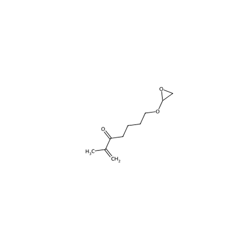 C=C(C)C(=O)CCCCOC1CO1